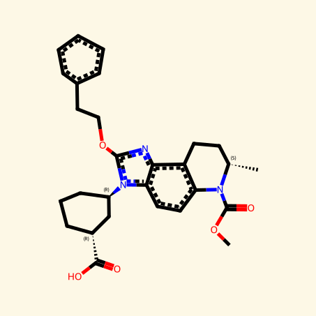 COC(=O)N1c2ccc3c(nc(OCCc4ccccc4)n3[C@@H]3CCC[C@@H](C(=O)O)C3)c2CC[C@@H]1C